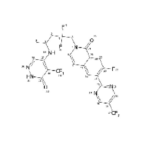 CC(CC(F)(F)Cn1ccc2cc(-c3ncc(C(F)(F)F)cn3)c(F)cc2c1=O)Nc1cn[nH]c(=O)c1C(F)(F)F